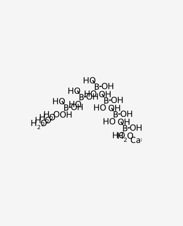 O.O.O.O.O.OB(O)O.OB(O)O.OB(O)O.OB(O)O.OB(O)O.OB(O)O.[Ca]